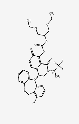 CCOCC(COCC)OC(=O)Oc1c2n(ccc1=O)N([C@@H]1c3ccccc3SCc3c(Cl)cccc31)CN([C@H](C)C(F)(F)F)C2=O